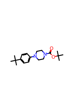 CC(C)(C)OC(=O)N1CCN(c2ccc(C(C)(C)C)cc2)CC1